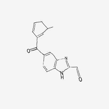 CC1C=C(C(=O)c2ccc3[nH]c(C=O)nc3c2)C=CC1